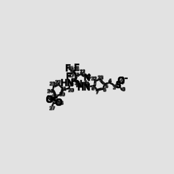 C[S+]([O-])CCc1ccc(Nc2ncc(C(F)(F)F)c(NCc3cccc(S(C)(=O)=O)c3)n2)cc1